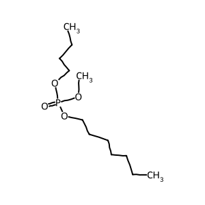 CCCCCCCOP(=O)(OC)OCCCC